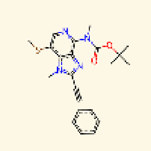 C#Cc1nc2c(N(C)C(=O)OC(C)(C)C)ncc(SC)c2n1C.c1ccccc1